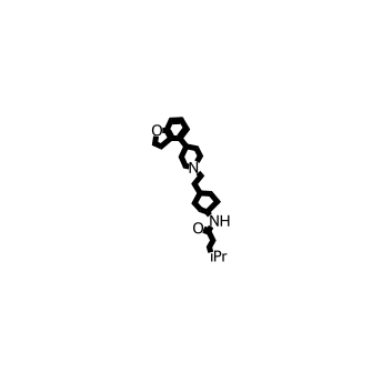 CC(C)CCC(=O)NC1CCC(CCN2CCC(c3cccc4c3CCO4)CC2)CC1